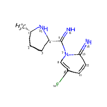 C[C@H]1CC[C@@H](C(=N)n2cc(F)ccc2=N)N1